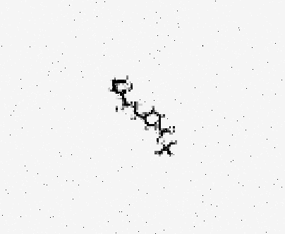 CC(C)(C)OC(=O)N1CCC(CNC(=O)c2ccco2)C1